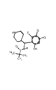 CC(C)(C)[S@@+]([O-])N[C@H](c1c(O)cc(Cl)c(Cl)c1F)C1CCNCC1